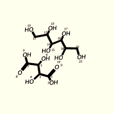 O=C(O)C(O)C(O)C(=O)O.OCC(O)C(O)C(O)C(O)CO